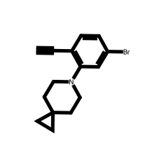 C#Cc1ccc(Br)cc1N1CCC2(CC1)CC2